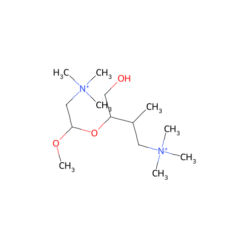 COC(C[N+](C)(C)C)OC(CO)C(C)C[N+](C)(C)C